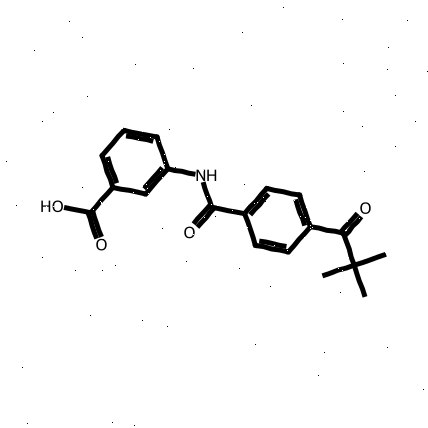 CC(C)(C)C(=O)c1ccc(C(=O)Nc2cccc(C(=O)O)c2)cc1